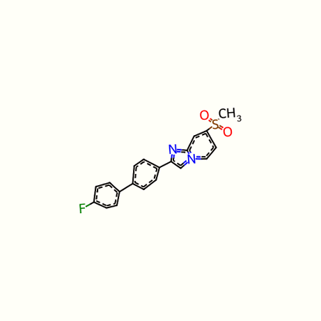 CS(=O)(=O)c1ccn2cc(-c3ccc(-c4ccc(F)cc4)cc3)nc2c1